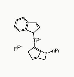 CCCP1CC2=CC[C]([Ti+2][CH]3C=Cc4ccccc43)=C21.[F-].[F-]